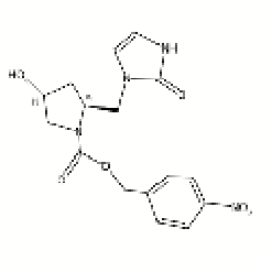 O=C(OCc1ccc([N+](=O)[O-])cc1)N1C[C@H](O)C[C@H]1Cn1cc[nH]c1=O